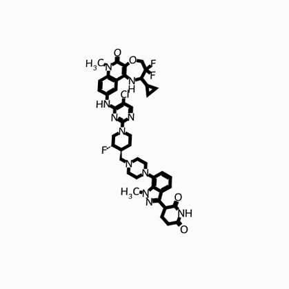 Cn1nc(C2CCC(=O)NC2=O)c2cccc(N3CCN(C[C@@H]4CCN(c5ncc(Cl)c(Nc6ccc7c(c6)c6c(c(=O)n7C)OCC(F)(F)C(C7CC7)N6)n5)C[C@H]4F)CC3)c21